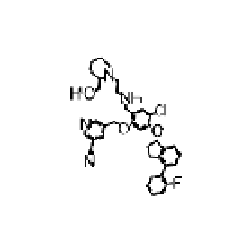 N#Cc1cncc(COc2cc(O[C@H]3CCc4c(-c5ccccc5F)cccc43)c(Cl)cc2CNCCN2CCCCC2CO)c1